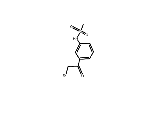 CS(=O)(=O)Nc1cccc(C(=O)CBr)c1